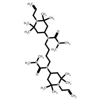 C=CCN1C(C)(C)CC(N(CCCCN(C(=O)N(C)C)C2CC(C)(C)N(CC=C)C(C)(C)C2)C(=O)N(C)C)CC1(C)C